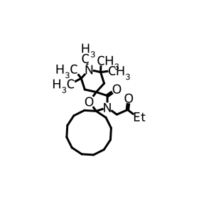 CCC(=O)CN1C(=O)C2(CC(C)(C)N(C)C(C)(C)C2)OC12CCCCCCCCCCC2